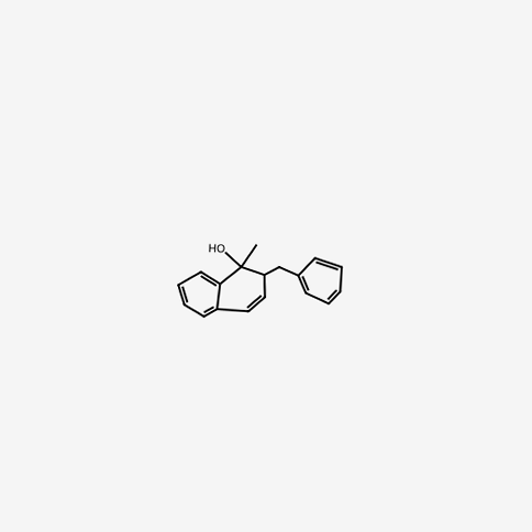 CC1(O)c2ccccc2C=CC1Cc1ccccc1